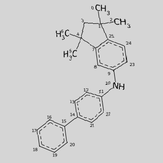 CC1(C)CC(C)(C)c2cc(Nc3ccc(-c4ccccc4)cc3)ccc21